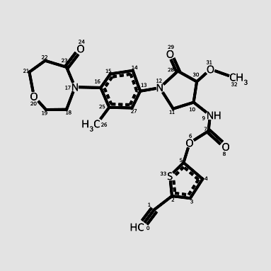 C#Cc1ccc(OC(=O)NC2CN(c3ccc(N4CCOCCC4=O)c(C)c3)C(=O)C2OC)s1